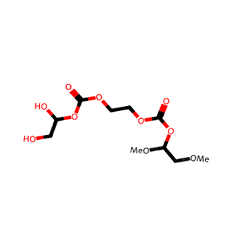 COCC(OC)OC(=O)OCCOC(=O)OC(O)CO